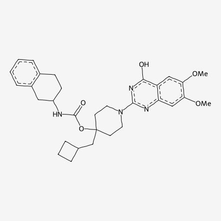 COc1cc2nc(N3CCC(CC4CCC4)(OC(=O)NC4CCc5ccccc5C4)CC3)nc(O)c2cc1OC